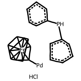 Cl.[Pd][C]12[CH]3[CH]4[CH]5[CH]1[Fe]45321678[CH]2[CH]1[CH]6[CH]7[CH]28.c1ccc(Pc2ccccc2)cc1